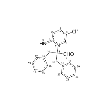 N=c1ccc(Cl)cn1C(C=O)(Cc1ccccc1)Cc1ccccc1